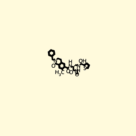 Cc1cc2c(cc1C(=O)N[C@@H](CN[C@@H](O)c1cccs1)C(=O)N=O)CCN(Cc1ccccc1)C2=O